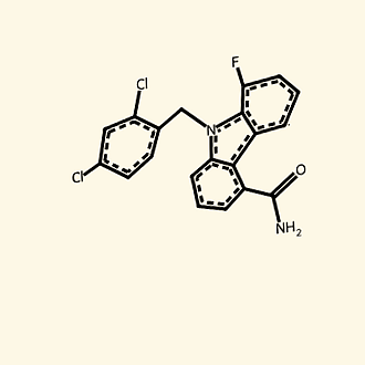 NC(=O)c1cccc2c1c1[c]ccc(F)c1n2Cc1ccc(Cl)cc1Cl